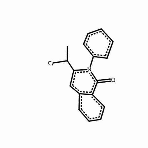 CC(Cl)c1cc2ccccc2c(=O)n1-c1ccccc1